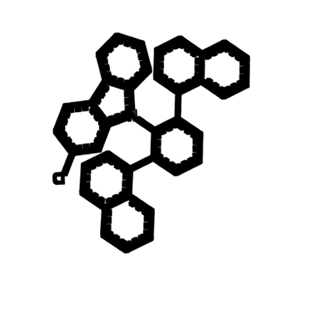 Clc1ccc2c3ccccc3n(-c3c(-c4cccc5ccccc45)cccc3-c3cccc4ccccc34)c2c1